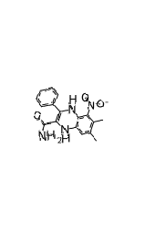 Cc1cc2c(c([N+](=O)[O-])c1C)NC(c1ccccc1)=C(C(N)=O)N2